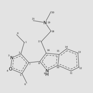 CCc1noc(C)c1-c1[nH]c2ccccc2c1CCN(C)C